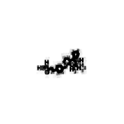 CC(C)(C)c1[nH]c2ccccc2c1C1CCCN(Cc2ccc(C=CC(=O)NO)cc2)C1